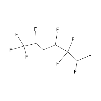 FC(CC(F)C(F)(F)C(F)F)C(F)(F)F